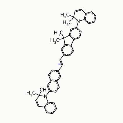 CC1(C)c2cc(/C=C/c3ccc4cc(N5c6ccccc6C=CC5(C)C)ccc4c3)ccc2-c2ccc(N3c4ccccc4C=CC3(C)C)cc21